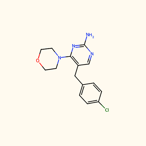 Nc1ncc(Cc2ccc(Cl)cc2)c(N2CCOCC2)n1